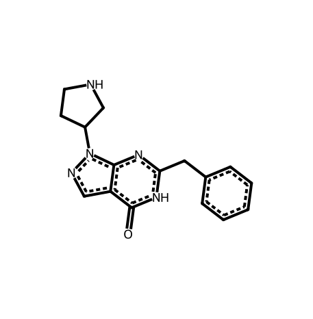 O=c1[nH]c(Cc2ccccc2)nc2c1cnn2C1CCNC1